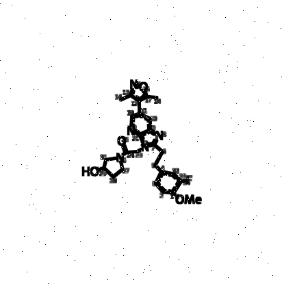 COc1ccc(CCc2nc3cc(-c4c(C)noc4C)cnc3n2CC(=O)N2CCC(O)C2)cc1F